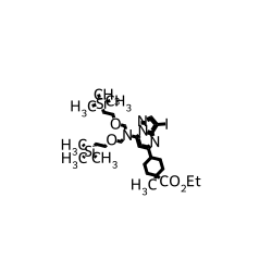 CCOC(=O)C1(C)CCC(c2cc(N(COCC[Si](C)(C)C)COCC[Si](C)(C)C)n3ncc(I)c3n2)CC1